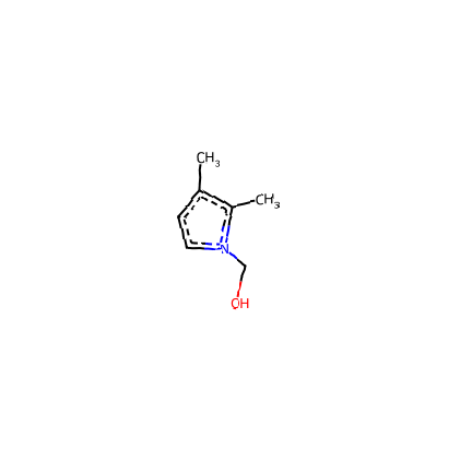 Cc1ccn(CO)c1C